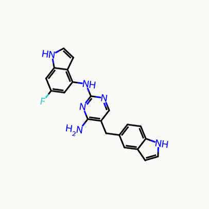 Nc1nc(Nc2cc(F)cc3[nH]ccc23)ncc1Cc1ccc2[nH]ccc2c1